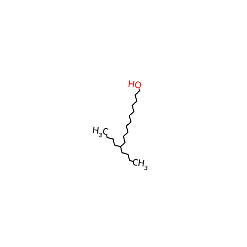 CCCCC(CCCC)CCCCCCCCCCCO